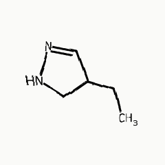 CCC1C=NNC1